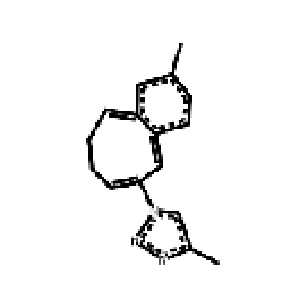 Cc1ccc2/c(c1)=C\CC/C=C(n1cc(C)nn1)\C=2